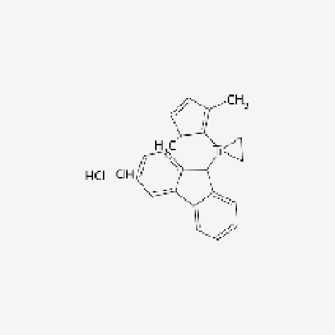 CC1=[C]([Ti]2([CH]3c4ccccc4-c4ccccc43)[CH2][CH2]2)C(C)C=C1.Cl.Cl